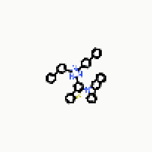 c1ccc(-c2ccc(-c3nc(-c4cccc(-c5ccccc5)c4)nc(-c4cc(-n5c6ccccc6c6cc7ccccc7cc65)c5sc6ccccc6c5c4)n3)cc2)cc1